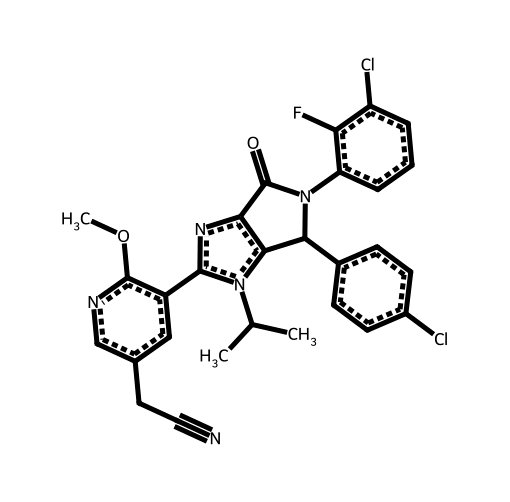 COc1ncc(CC#N)cc1-c1nc2c(n1C(C)C)C(c1ccc(Cl)cc1)N(c1cccc(Cl)c1F)C2=O